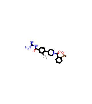 C[S+]([O-])c1ccccc1C(=O)N1CCC(c2ccc(C(=O)NC(=N)N)cc2C(F)(F)F)CC1